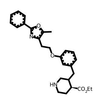 CCOC(=O)[C@H]1CCNCC1Cc1cccc(OCCc2nc(-c3ccccc3)oc2C)c1